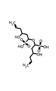 C=CCC(O)CC(OC(CC(O)CC=C)S(=O)(=O)O)S(=O)(=O)O